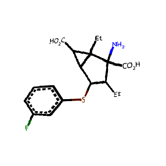 CCC1C(Sc2cccc(F)c2)C2C(C(=O)O)C2(CC)C1(N)C(=O)O